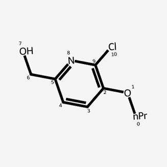 CCCOc1ccc(CO)nc1Cl